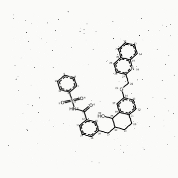 O=C(NS(=O)(=O)c1ccccc1)c1cccc(CC2CCc3ccc(OCc4ccc5ccccc5n4)cc3C2O)c1